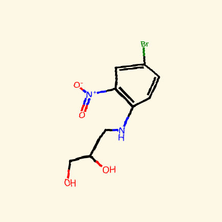 O=[N+]([O-])c1cc(Br)ccc1NCC(O)CO